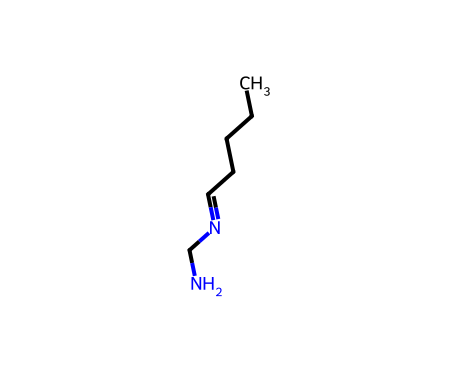 CCCCC=NCN